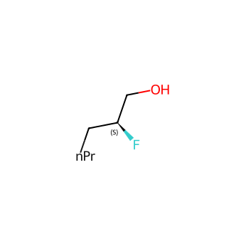 CCCC[C@H](F)CO